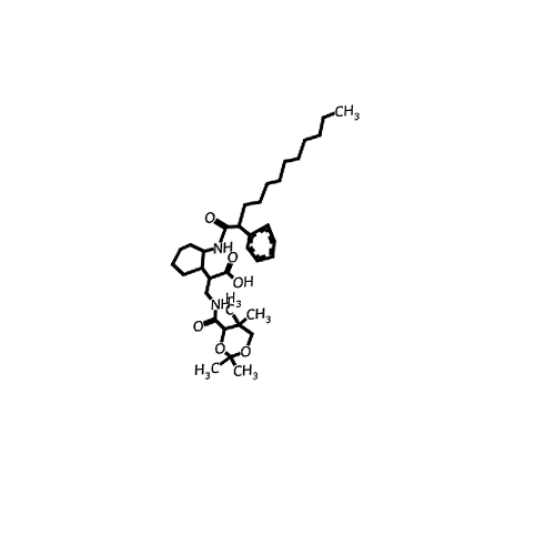 CCCCCCCCCCC(C(=O)NC1CCCCC1C(CNC(=O)C1OC(C)(C)OCC1(C)C)C(=O)O)c1ccccc1